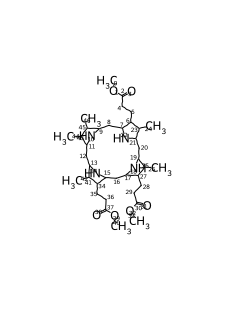 COC(=O)CCC1C2CC3NC(CC4NC(CC5NC(CC(N2)C1C)C(C)C5CCC(=O)OC)C(CCC(=O)OC)C4C)C(C)C3C